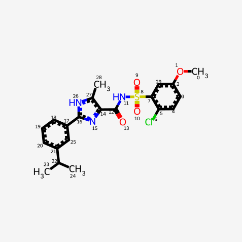 COc1ccc(Cl)c(S(=O)(=O)NC(=O)c2nc(-c3cccc(C(C)C)c3)[nH]c2C)c1